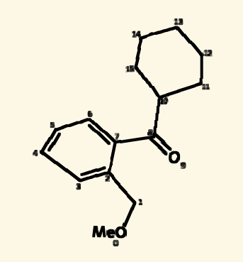 COCc1ccccc1C(=O)C1CCCCC1